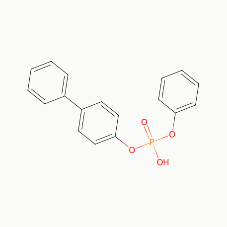 O=P(O)(Oc1ccccc1)Oc1ccc(-c2ccccc2)cc1